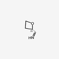 N=C[C@@H]1CCO1